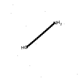 NCCCCCCCCCCCCCCCCCCCCCCCCCCCCCCCCCCO